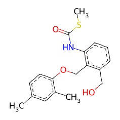 CSC(=O)Nc1cccc(CO)c1COc1ccc(C)cc1C